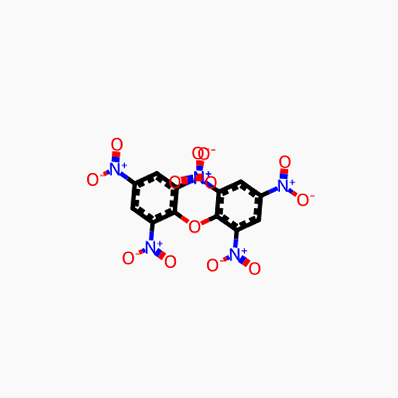 O=[N+]([O-])c1cc([N+](=O)[O-])c(Oc2c([N+](=O)[O-])cc([N+](=O)[O-])cc2[N+](=O)[O-])c([N+](=O)[O-])c1